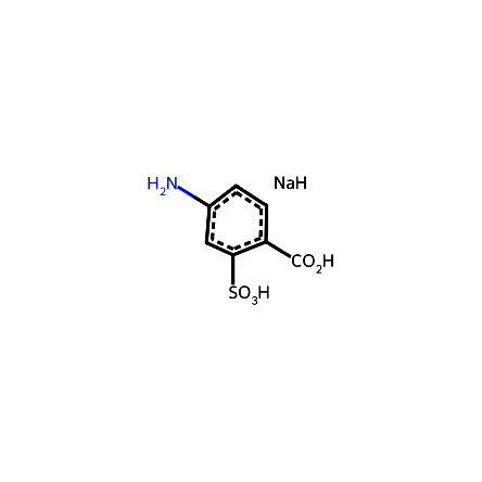 Nc1ccc(C(=O)O)c(S(=O)(=O)O)c1.[NaH]